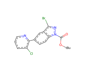 CC(C)(C)OC(=O)n1nc(Br)c2cc(-c3ncccc3Cl)ccc21